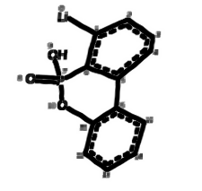 [Li][c]1cccc2c1P(=O)(O)Oc1ccccc1-2